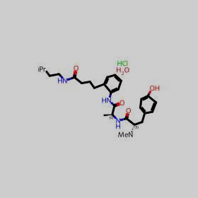 CN[C@@H](Cc1ccc(O)cc1)C(=O)N[C@@H](C)C(=O)Nc1ccccc1CCCC(=O)NCCC(C)C.Cl.O